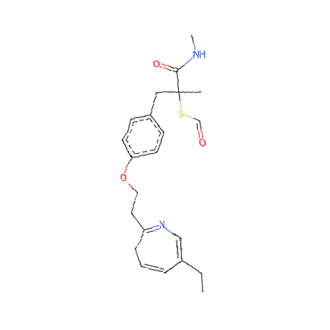 CCC1=CN=C(CCOc2ccc(CC(C)(SC=O)C(=O)NC)cc2)CC=C1